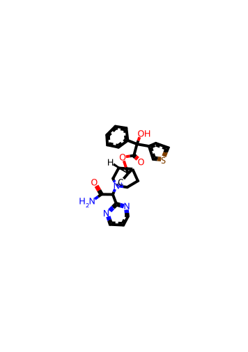 NC(=O)C(c1ncccn1)[N+]12CCC(CC1)[C@@H](OC(=O)C(O)(c1ccccc1)c1ccsc1)C2